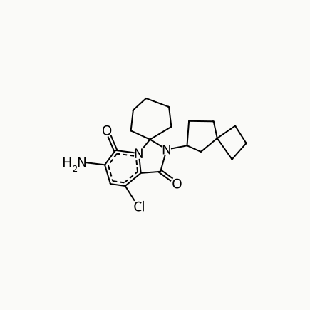 Nc1cc(Cl)c2n(c1=O)C1(CCCCC1)N(C1CCC3(CCC3)C1)C2=O